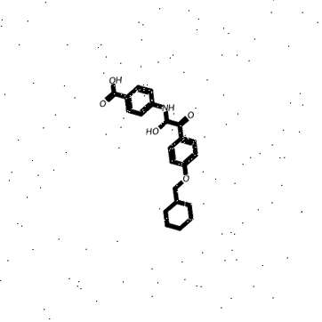 O=C(O)c1ccc(NC(O)C(=O)c2ccc(OCC3CCCCC3)cc2)cc1